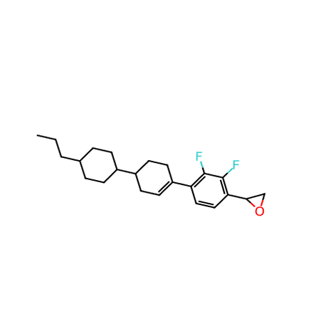 CCCC1CCC(C2CC=C(c3ccc(C4CO4)c(F)c3F)CC2)CC1